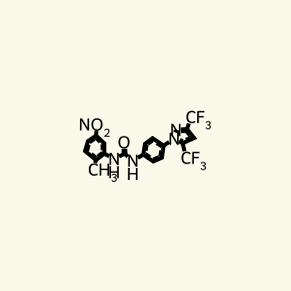 Cc1ccc([N+](=O)[O-])cc1NC(=O)Nc1ccc(-n2nc(C(F)(F)F)cc2C(F)(F)F)cc1